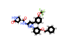 O=C1C[C@H](C(=O)Nc2cc(-c3cccc(OC(F)(F)F)c3)n(-c3cccc(OCc4ccccc4)c3)n2)CN1